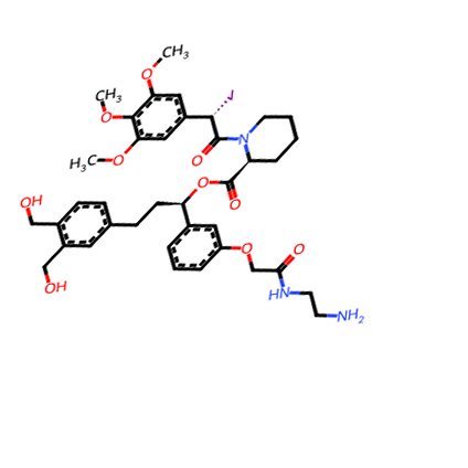 COc1cc([C@H](I)C(=O)N2CCCC[C@H]2C(=O)O[C@H](CCc2ccc(CO)c(CO)c2)c2cccc(OCC(=O)NCCN)c2)cc(OC)c1OC